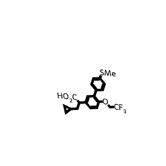 CSc1ccc(-c2cc(C(CC3CC3)C(=O)O)ccc2OCC(F)(F)F)cc1